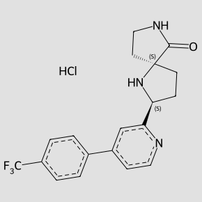 Cl.O=C1NCC[C@@]12CC[C@@H](c1cc(-c3ccc(C(F)(F)F)cc3)ccn1)N2